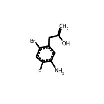 C=C(O)Cc1cc(N)c(F)cc1Br